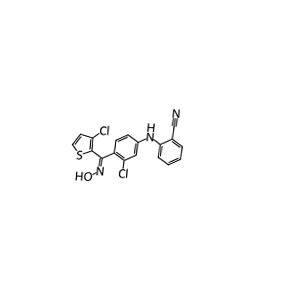 N#Cc1ccccc1Nc1ccc(C(=NO)c2sccc2Cl)c(Cl)c1